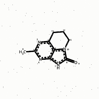 Cc1nc2c3c(n1)[nH]c(=O)n3CCC2